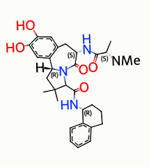 CN[C@@H](C)C(=O)N[C@H]1Cc2cc(O)c(O)cc2[C@H]2CC(C)(C)C(C(=O)N[C@@H]3CCCc4ccccc43)N2C1=O